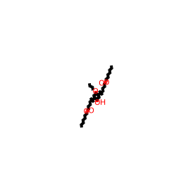 CCCCCCCOC(=O)CCCC(C)(C)c1cc(OCCCC)c(C(C)(C)CCCC(=O)OCCCCCCC)cc1O